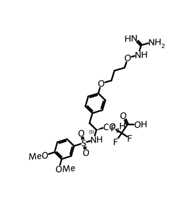 COc1ccc(S(=O)(=O)N[C@@H](Cc2ccc(OCCCONC(=N)N)cc2)C(=O)O)cc1OC.O=C(O)C(F)(F)F